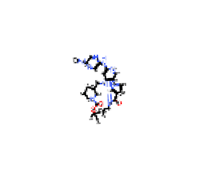 [C-]#[N+]c1cnc(Nc2cc(NCC3CCCN(C(=O)OC(C)(C)C)C3)c(-n3ccc(C(=O)NCCC)c3)cn2)cn1